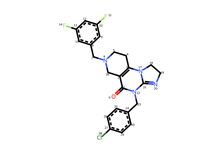 O=C1C2=C(CCN(Cc3cc(F)cc(F)c3)C2)N2CCN=C2N1Cc1ccc(Cl)cc1